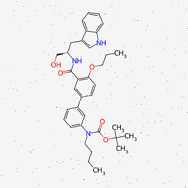 CCCCN(C(=O)OC(C)(C)C)c1cccc(-c2ccc(OCCC)c(C(=O)N[C@@H](CO)Cc3c[nH]c4ccccc34)c2)c1